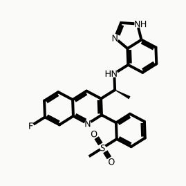 C[C@H](Nc1cccc2[nH]cnc12)c1cc2ccc(F)cc2nc1-c1ccccc1S(C)(=O)=O